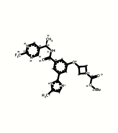 Cc1cnc(-c2cc(OC3CN(C(=O)OC(C)(C)C)C3)cc(C(=O)N[C@H](C)c3cnc(C(F)(F)F)nc3)c2)s1